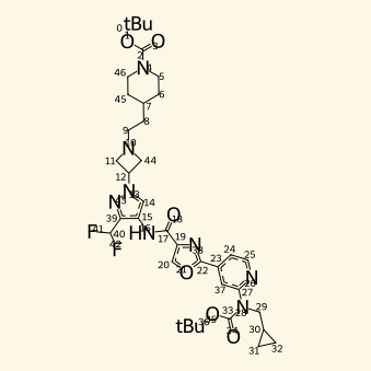 CC(C)(C)OC(=O)N1CCC(CCN2CC(n3cc(NC(=O)c4coc(-c5ccnc(N(CC6CC6)C(=O)OC(C)(C)C)c5)n4)c(C(F)F)n3)C2)CC1